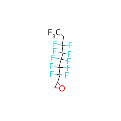 FC(F)(F)CC(F)(F)C(F)(F)C(F)(F)C(F)(F)C(F)(F)C1CO1